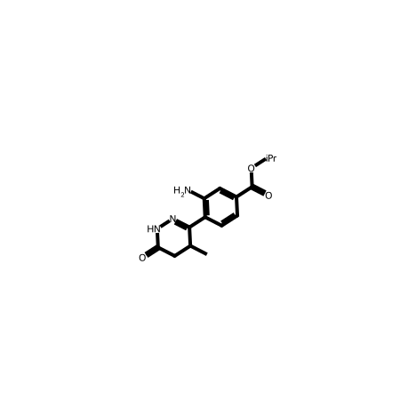 CC(C)OC(=O)c1ccc(C2=NNC(=O)CC2C)c(N)c1